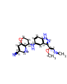 C=N/C=C(\OC)c1n[nH]c2ccc(N[C@@H]3CCOc4cc(C#N)cnc43)cc12